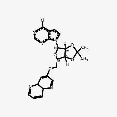 CC1(C)O[C@@H]2[C@H](O1)[C@@H](COC1=CC3N=CC=CC3N=C1)O[C@H]2n1ccc2c(Cl)ncnc21